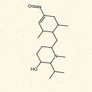 CC(C)C1C(O)CCC(CC2C(C)C=C(N=O)CC2C)N1C